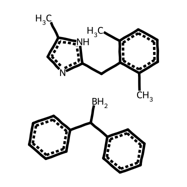 BC(c1ccccc1)c1ccccc1.Cc1cnc(Cc2c(C)cccc2C)[nH]1